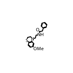 COc1ccc2c(c1)N(CCNC(=O)Cc1ccccc1)CCS2